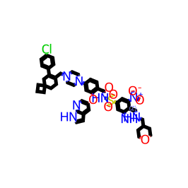 N=C1C=C(S(=O)(=O)NC(=O)c2ccc(N3CCN(CC4=C(c5ccc(Cl)cc5)CC5(CCC5)CC4)CC3)cc2Oc2cnc3[nH]ccc3c2)C=C([N+](=O)[O-])/C1=C/NCC1CCOCC1